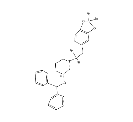 [2H]C1([2H])Oc2ccc(CC([2H])([2H])N3CCC[C@@H](OC(c4ccccc4)c4ccccc4)C3)cc2O1